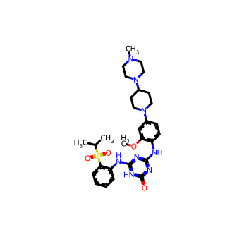 COc1cc(N2CCC(N3CCN(C)CC3)CC2)ccc1Nc1nc(Nc2ccccc2S(=O)(=O)C(C)C)[nH]c(=O)n1